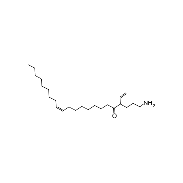 C=CC(CCCN)C(=O)CCCCCCC/C=C\CCCCCCCC